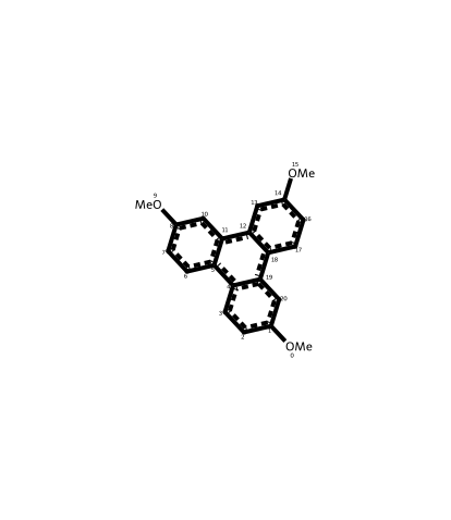 COc1ccc2c3ccc(OC)cc3c3cc(OC)ccc3c2c1